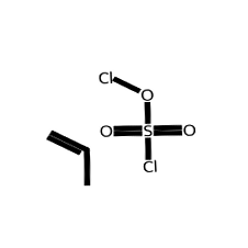 C=CC.O=S(=O)(Cl)OCl